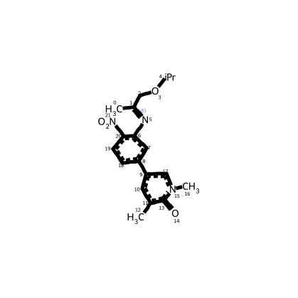 C/C(COC(C)C)=N\c1cc(-c2cc(C)c(=O)n(C)c2)ccc1[N+](=O)[O-]